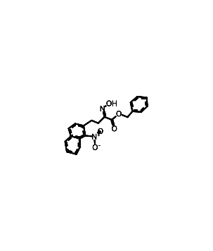 O=C(OCc1ccccc1)C(CCc1ccc2ccccc2c1[N+](=O)[O-])=NO